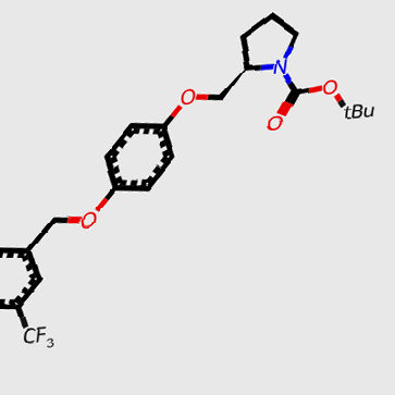 CC(C)(C)OC(=O)N1CCC[C@@H]1COc1ccc(OCc2cccc(C(F)(F)F)c2)cc1